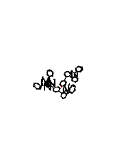 c1ccc(-c2nc(-c3ccccc3)nc(-c3ccc(-c4cccc5c6ccccc6n(-c6cccc(-c7cccc8c7c7ccccc7n8-c7ccccc7)c6)c45)cc3)n2)cc1